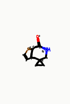 O=C1NCC2(CC2)c2ccsc21